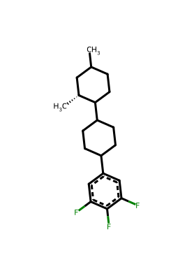 CC1CCC(C2CCC(c3cc(F)c(F)c(F)c3)CC2)[C@H](C)C1